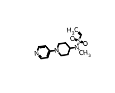 C=CS(=O)(=O)N(C)C1CCN(c2ccncc2)CC1